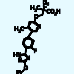 Cc1cc(OCC(C)(C)C(=O)O)ncc1-c1ccc(-c2nc(OC(C)C)n[nH]2)c(F)c1